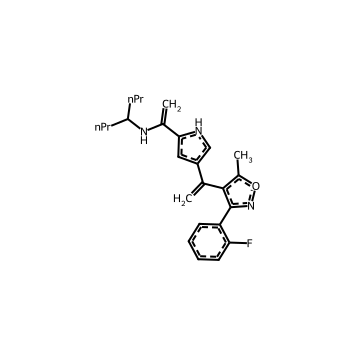 C=C(NC(CCC)CCC)c1cc(C(=C)c2c(-c3ccccc3F)noc2C)c[nH]1